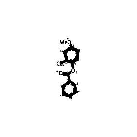 COc1ccc(OC(=O)c2ccccc2)c(Cl)c1